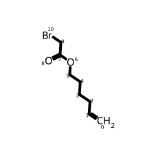 C=CCCCCOC(=O)CBr